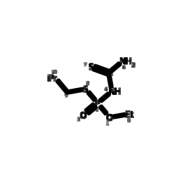 CCOP(=O)(NC(N)=S)SCC(C)C